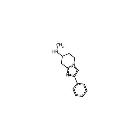 CNC1CCn2cc(-c3ccccc3)nc2C1